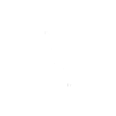 [CH2]CC(C)CCCCC=CCCC